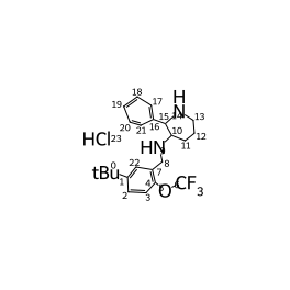 CC(C)(C)c1ccc(OC(F)(F)F)c(CNC2CCCNC2c2ccccc2)c1.Cl